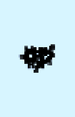 C[C@@H]1CC[C@H](N)[C@H](c2ccccc2)N1